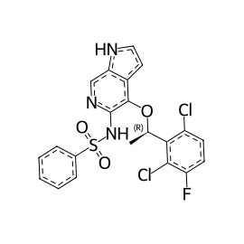 C[C@@H](Oc1c(NS(=O)(=O)c2ccccc2)ncc2[nH]ccc12)c1c(Cl)ccc(F)c1Cl